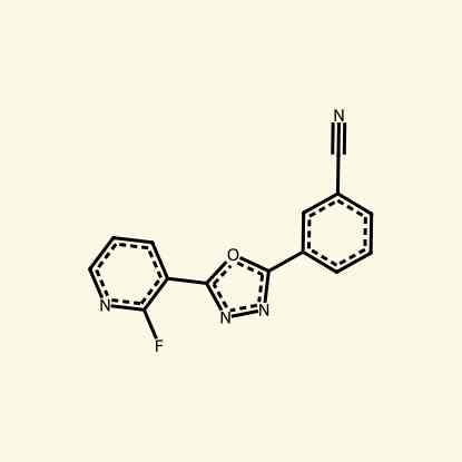 N#Cc1cccc(-c2nnc(-c3cccnc3F)o2)c1